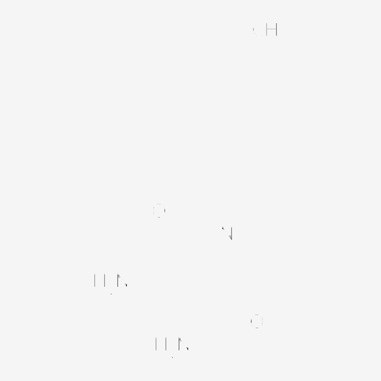 Cc1ccc(-c2nc(C(N)=O)c(N)o2)cc1